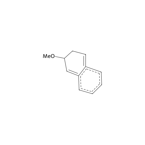 COC1C=c2ccccc2=CC1